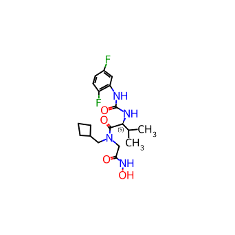 CC(C)[C@H](NC(=O)Nc1cc(F)ccc1F)C(=O)N(CC(=O)NO)CC1CCC1